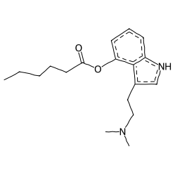 CCCCCC(=O)Oc1cccc2[nH]cc(CCN(C)C)c12